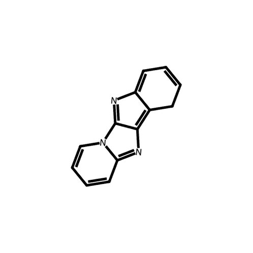 C1=CCC2=c3nc4ccccn4c3=NC2=C1